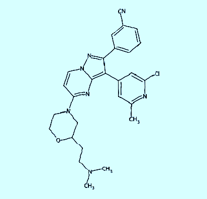 Cc1cc(-c2c(-c3cccc(C#N)c3)nn3ccc(N4CCOC(CCN(C)C)C4)nc23)cc(Cl)n1